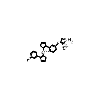 C1C[SiH2]C1.Fc1cccc(C2=[C]([Zr+2][C]3=C(c4cccc(F)c4)C=CC3)CC=C2)c1.[Cl-].[Cl-]